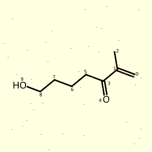 C=C(C)C(=O)CCCCO